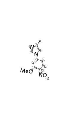 COc1cc(-n2cnc(C)c2)ccc1[N+](=O)[O-]